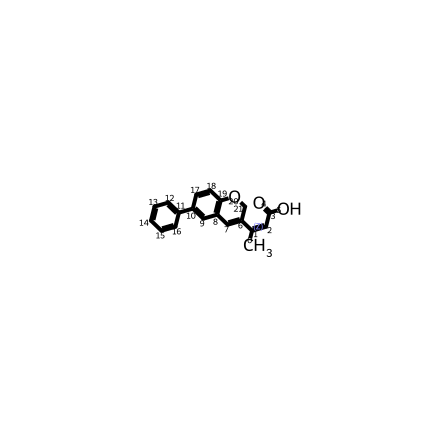 C/C(=C/C(=O)O)C1=Cc2cc(-c3ccccc3)ccc2OC1